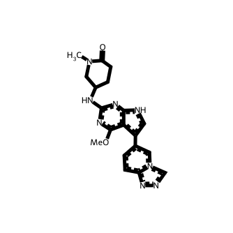 COc1nc(NC2CCC(=O)N(C)C2)nc2[nH]cc(-c3ccc4nncn4c3)c12